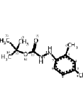 Cc1cc(Cl)ccc1NNC(=O)OC(C)(C)C